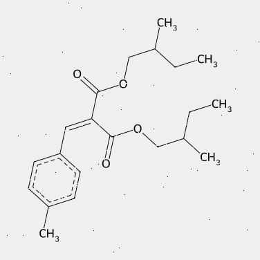 CCC(C)COC(=O)C(=Cc1ccc(C)cc1)C(=O)OCC(C)CC